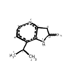 CC(C)c1ccnc2c1NC(=O)C2